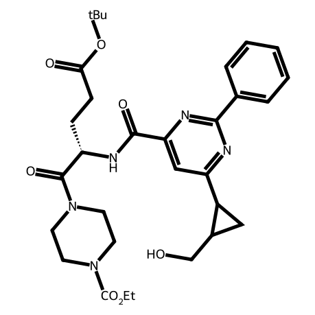 CCOC(=O)N1CCN(C(=O)[C@H](CCC(=O)OC(C)(C)C)NC(=O)c2cc(C3CC3CO)nc(-c3ccccc3)n2)CC1